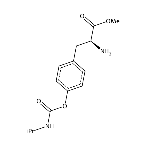 COC(=O)[C@@H](N)Cc1ccc(OC(=O)NC(C)C)cc1